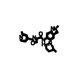 Cc1cc(-c2nc(C(=O)Nc3cc4nn(C)cc4cc3N3CCCC(C)C3)co2)ccn1